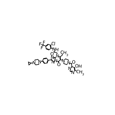 CCc1c(N2CCN(C(=O)c3ncnc(C)c3O)CC2)c(=O)n2nc(-c3ccc(N4CCN(C5CC5)CC4)cc3)nc2n1CC(=O)Nc1ccc(C(F)(F)F)cc1Cl